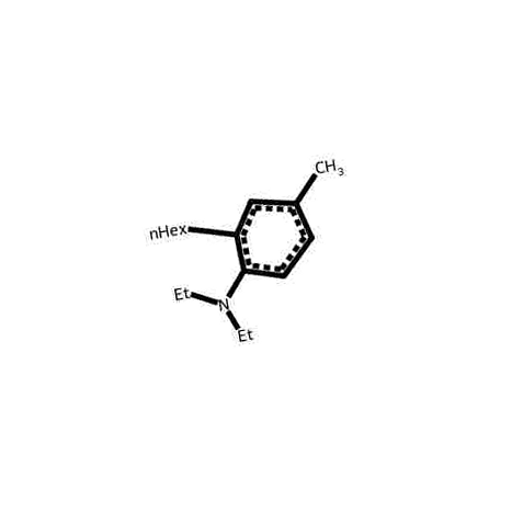 CCCCCCc1cc(C)ccc1N(CC)CC